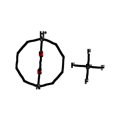 C1CC[NH+]2CCCCN(C1)CCCC2.F[B-](F)(F)F